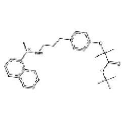 C[C@@H](NCCCc1ccc(OC(C)(C)C(=O)OC(C)(C)C)cc1)c1cccc2ccccc12